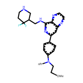 CCCN(CCOC)c1ccc(-c2cc3nccnc3c(NCC3CNCCC3(F)F)n2)cc1